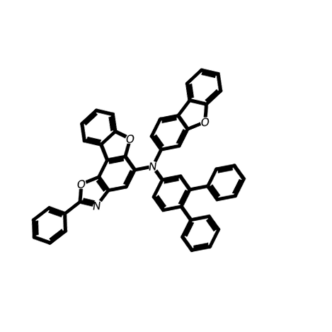 c1ccc(-c2nc3cc(N(c4ccc(-c5ccccc5)c(-c5ccccc5)c4)c4ccc5c(c4)oc4ccccc45)c4oc5ccccc5c4c3o2)cc1